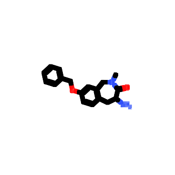 CN1Cc2cc(OCc3ccccc3)ccc2CC(N)C1=O